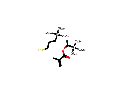 C=C(C)C(=O)OC(CC)[Si](OC)(OC)OC.CO[Si](CCCS)(OC)OC